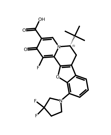 CC(C)(C)[C@@H]1Cc2c(oc3c(N4CCC(F)(F)C4)cccc23)-c2c(F)c(=O)c(C(=O)O)cn21